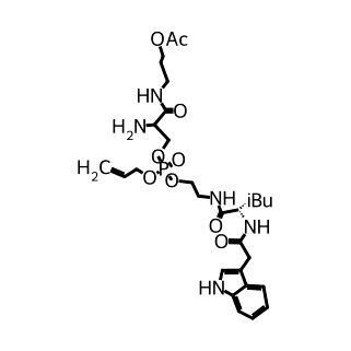 C=CCOP(=O)(OCCNC(=O)[C@@H](NC(=O)Cc1c[nH]c2ccccc12)[C@@H](C)CC)OCC(N)C(=O)NCCCOC(C)=O